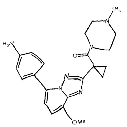 COc1ccc(-c2ccc(N)cc2)n2nc(C3(C(=O)N4CCN(C)CC4)CC3)nc12